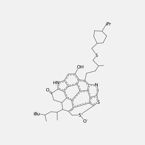 CCC(C)C(C)CC(C)C1C2=c3c4c(sc5cnc6c(CCC(C)CSCC7CCC(C(C)C)CC7)c7c(O)cc8[nH]c9c%10c(c3c(c6c54)c7c8%10)C1CC9=O)[S+]([O-])C2